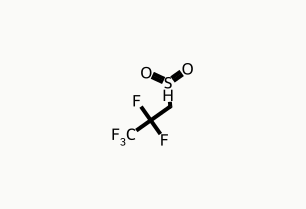 O=[SH](=O)CC(F)(F)C(F)(F)F